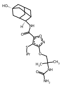 CC(C)Sc1c(OCC(C)(C)NC(N)=O)noc1C(=O)N[C@H]1C2CC3CC1C[C@](O)(C3)C2